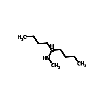 CCCC[SiH](CCCC)NC